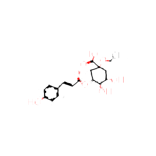 CCO[C@@]1(C(=O)O)C[C@H](O)[C@@H](O)[C@H](OC(=O)C=Cc2ccc(O)cc2)C1